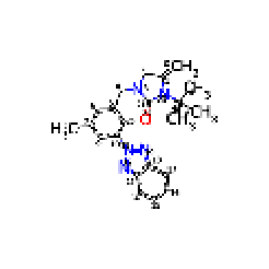 C=C1CN(Cc2cc(C)cc(-n3nc4ccccc4n3)c2)C(=O)N1C(C)(C)C